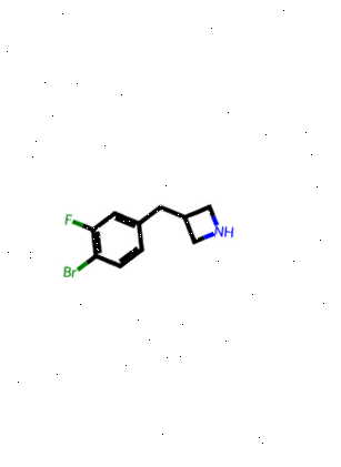 Fc1cc(CC2CNC2)ccc1Br